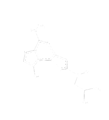 CNc1nc2cc([S+]([O-])CC(C)C)sc2n2c(C)cnc12